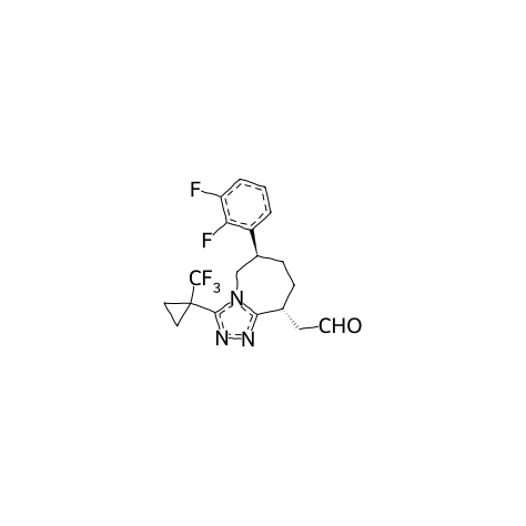 O=CC[C@H]1CC[C@H](c2cccc(F)c2F)Cn2c1nnc2C1(C(F)(F)F)CC1